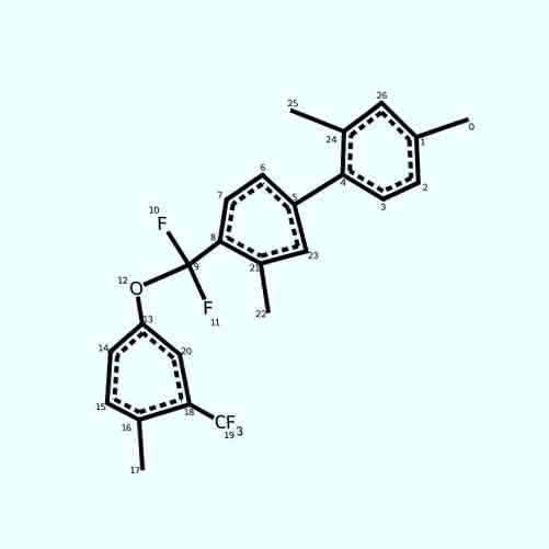 Cc1ccc(-c2ccc(C(F)(F)Oc3ccc(C)c(C(F)(F)F)c3)c(C)c2)c(C)c1